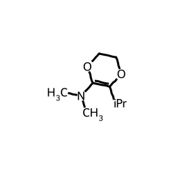 CC(C)C1=C(N(C)C)OCCO1